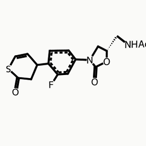 CC(=O)NC[C@H]1CN(c2ccc(C3C=CSC(=O)C3)c(F)c2)C(=O)O1